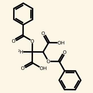 [2H]C(OC(=O)c1ccccc1)(C(=O)O)C(OC(=O)c1ccccc1)C(=O)O